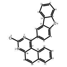 Clc1nc(-c2ccc3oc4ccccc4c3c2)c2c(ccc3ccccc32)n1